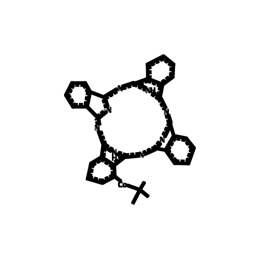 C[C](C)(C)[Co][c]1cccc2c3nc4nc(nc5[nH]c(nc6nc(nc([nH]3)c12)-c1ccccc1-6)c1ccccc51)-c1ccccc1-4